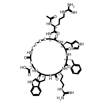 CC(=O)N[C@@H](CCCNC(=N)N)C(=O)N[C@H]1CCCCNC(=O)C[C@@H](C(=O)O)NC(=O)[C@H](Cc2c[nH]c3ccccc23)NC(=O)[C@H](CCCNC(=N)N)NC(=O)[C@@H](Cc2ccccc2)NC(=O)[C@H](Cc2c[nH]cn2)NC1=O